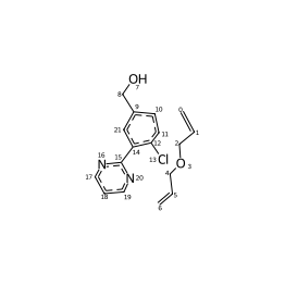 C=CCOCC=C.OCc1ccc(Cl)c(-c2ncccn2)c1